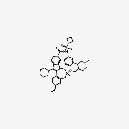 COc1ccc2c(c1)CC(C)(OCC1CCN(C)CC1c1ccccc1)Cn1c-2c(C2CCCCC2)c2ccc(C(=O)NS(=O)(=O)N3CCC3)cc21